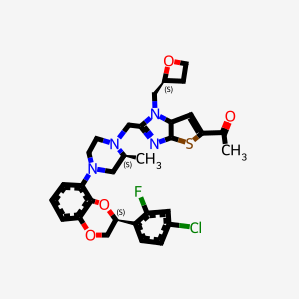 CC(=O)C1=CC2C(N=C(CN3CCN(c4cccc5c4O[C@@H](c4ccc(Cl)cc4F)CO5)C[C@@H]3C)N2C[C@@H]2CCO2)S1